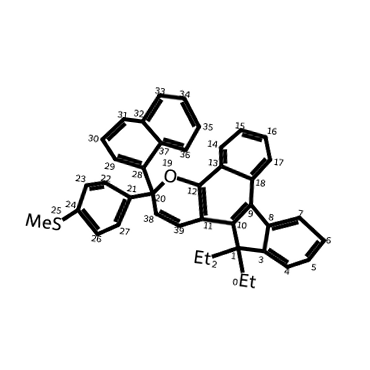 CCC1(CC)c2ccccc2-c2c1c1c(c3ccccc23)OC(c2ccc(SC)cc2)(c2cccc3ccccc23)C=C1